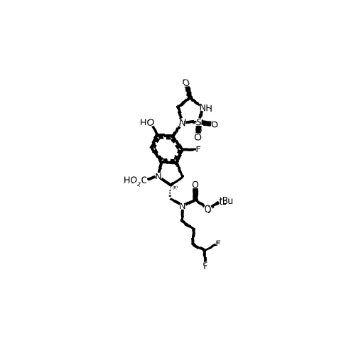 CC(C)(C)OC(=O)N(CCCC(F)F)C[C@H]1Cc2c(cc(O)c(N3CC(=O)NS3(=O)=O)c2F)N1C(=O)O